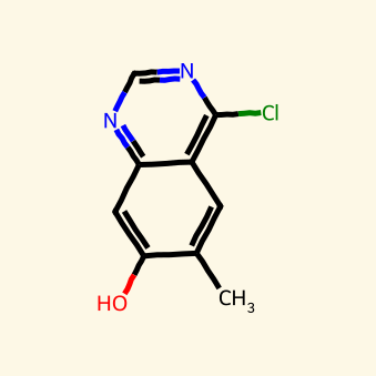 Cc1cc2c(Cl)ncnc2cc1O